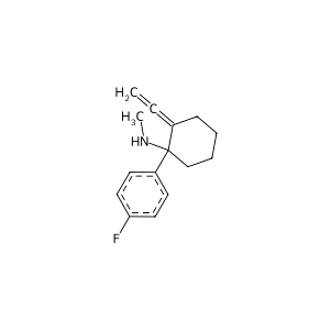 C=C=C1CCCCC1(NC)c1ccc(F)cc1